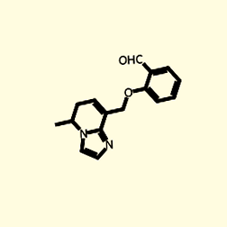 CC1CC=C(COc2ccccc2C=O)c2nccn21